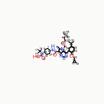 Cc1c(C(=O)N[C@H]2CC[C@@H](N(C(=O)O)C(C)(C)C)CC2)c2ncnc(-c3cc(C(C)C)ccc3OCC3CC3)c2n1COCC[Si](C)(C)C